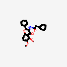 COc1ccc2oc(-c3ccccc3)c(NC(=O)Cc3ccccc3)c(=O)c2c1OC